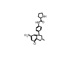 CN1Cc2c(Cl)cc(N)cc2C(c2ccc(NC(=O)C3CCCN3)cc2)C1